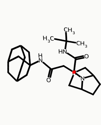 CC(C)(C)NC(=O)CN1C2CCC1CN(CC(=O)NC13CC4CC(CC(C4)C1)C3)C2